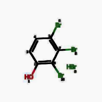 Br.Oc1ccc(Br)c(Br)c1Br